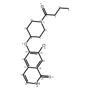 CCCC(=O)N1CCC(Oc2cc3cc[nH]c(=O)c3cc2Cl)CC1